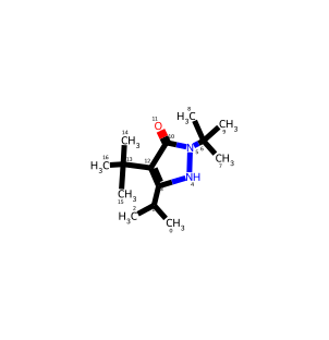 CC(C)c1[nH]n(C(C)(C)C)c(=O)c1C(C)(C)C